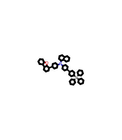 c1ccc([Si](c2ccccc2)(c2ccccc2)c2ccc(-c3ccc(N(c4ccc(-c5cccc6c5oc5ccccc56)cc4)c4cccc5ccccc45)cc3)cc2)cc1